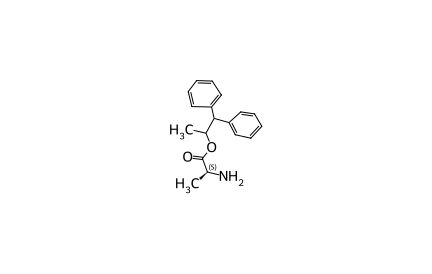 CC(OC(=O)[C@H](C)N)C(c1ccccc1)c1ccccc1